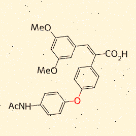 COc1cc(/C=C(/C(=O)O)c2ccc(Oc3ccc(NC(C)=O)cc3)cc2)cc(OC)c1